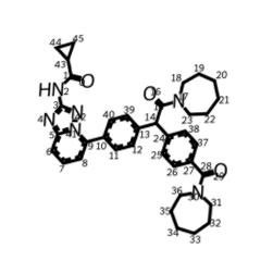 O=C(Nc1nc2cccc(-c3ccc(C(C(=O)N4CCCCCC4)c4ccc(C(=O)N5CCCCCC5)cc4)cc3)n2n1)C1CC1